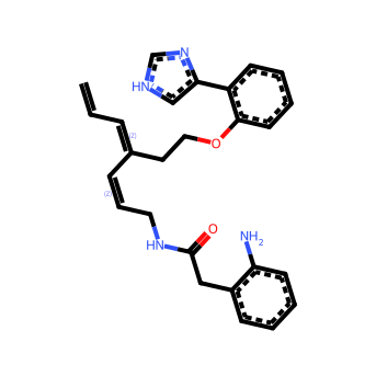 C=C/C=C(\C=C/CNC(=O)Cc1ccccc1N)CCOc1ccccc1-c1c[nH]cn1